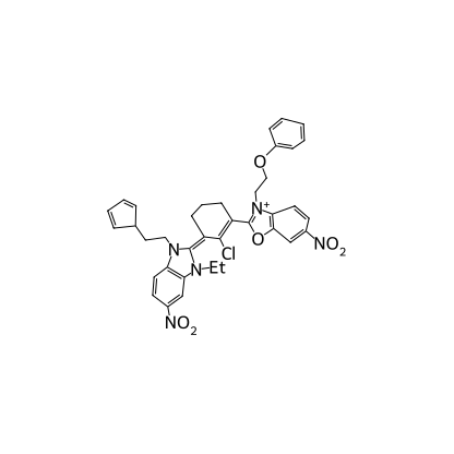 CCN1/C(=C2/CCCC(c3oc4cc([N+](=O)[O-])ccc4[n+]3CCOc3ccccc3)=C2Cl)N(CCC2C=CC=C2)c2ccc([N+](=O)[O-])cc21